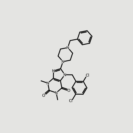 Cn1c(=O)c2c(nc(N3CCN(Cc4ccccc4)CC3)n2Cc2cc(Cl)ccc2Cl)n(C)c1=O